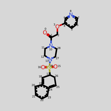 O=C(COc1cccnc1)N1CCN(S(=O)(=O)C2C=c3ccccc3=CC2)CC1